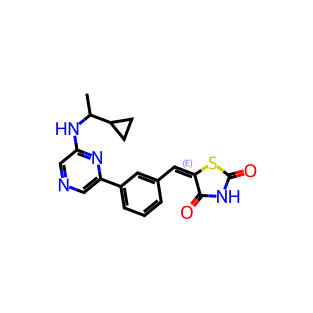 CC(Nc1cncc(-c2cccc(/C=C3/SC(=O)NC3=O)c2)n1)C1CC1